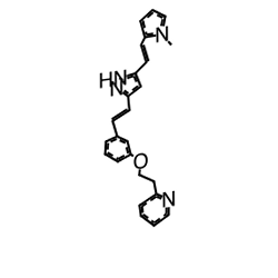 Cn1cccc1/C=C/c1cc(/C=C/c2cccc(OCCc3ccccn3)c2)n[nH]1